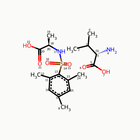 CC(C)[C@H](N)C(=O)O.Cc1cc(C)c(S(=O)(=O)N[C@H](C)C(=O)O)c(C)c1